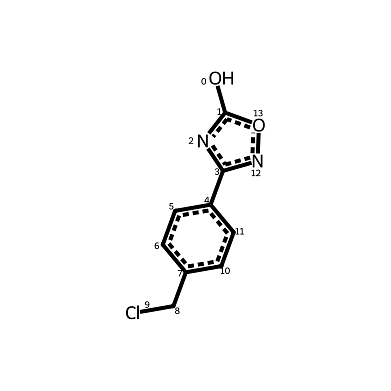 Oc1nc(-c2ccc(CCl)cc2)no1